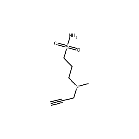 C#CCN(C)CCCS(N)(=O)=O